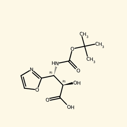 CC(C)(C)OC(=O)N[C@@H](c1ncco1)[C@@H](O)C(=O)O